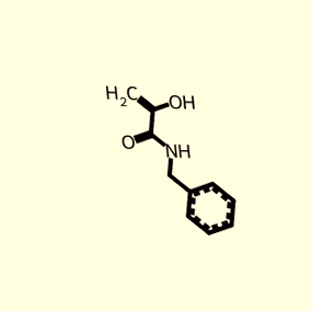 C=C(O)C(=O)NCc1ccccc1